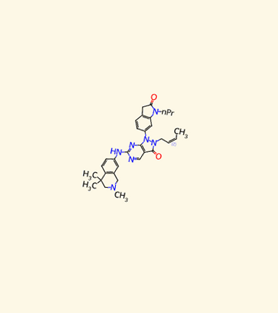 C/C=C\Cn1c(=O)c2cnc(Nc3ccc4c(c3)CN(C)CC4(C)C)nc2n1-c1ccc2c(c1)N(CCC)C(=O)C2